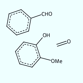 C=O.COc1ccccc1O.O=Cc1ccccc1